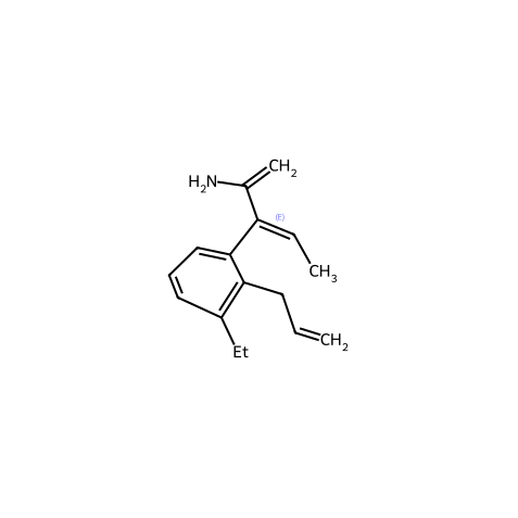 C=CCc1c(CC)cccc1/C(=C\C)C(=C)N